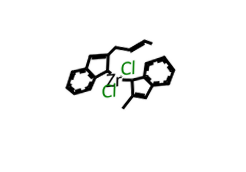 CC=CCC1=Cc2ccccc2[CH]1[Zr]([Cl])([Cl])[CH]1C(C)=Cc2ccccc21